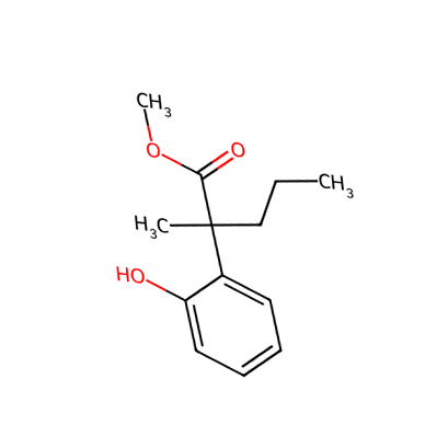 CCCC(C)(C(=O)OC)c1ccccc1O